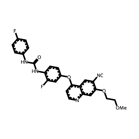 [C-]#[N+]c1cc2c(Oc3ccc(NC(=O)Nc4ccc(F)cc4)c(F)c3)ccnc2cc1OCCOC